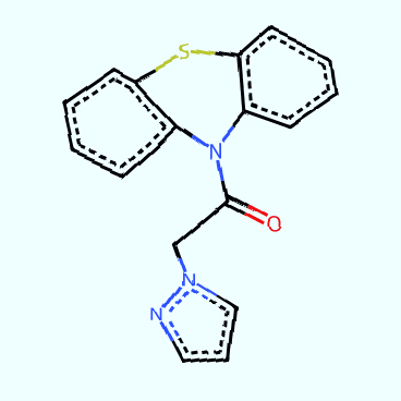 O=C(Cn1cccn1)N1c2ccccc2Sc2ccccc21